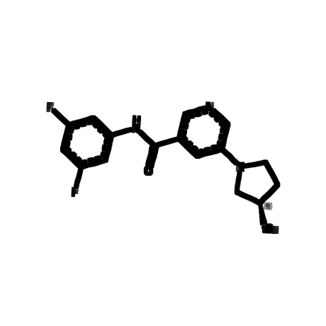 CC(C)(C)[C@@H]1CCN(c2cncc(C(=O)Nc3cc(F)cc(F)c3)c2)C1